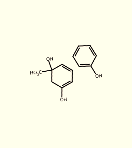 O=C(O)C1(O)C=CC=C(O)C1.Oc1ccccc1